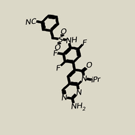 CC(C)n1c(=O)c(-c2cc(F)c(NS(=O)(=O)Cc3cccc(C#N)c3)c(F)c2F)cc2cnc(N)nc21